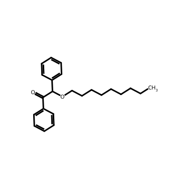 CCCCCCCCCOC(C(=O)c1ccccc1)c1ccccc1